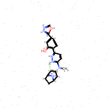 CN(c1ccc(-c2ccc(-c3nnco3)cc2O)nn1)[C@@H]1CC2CCC(N2)[C@@H]1F